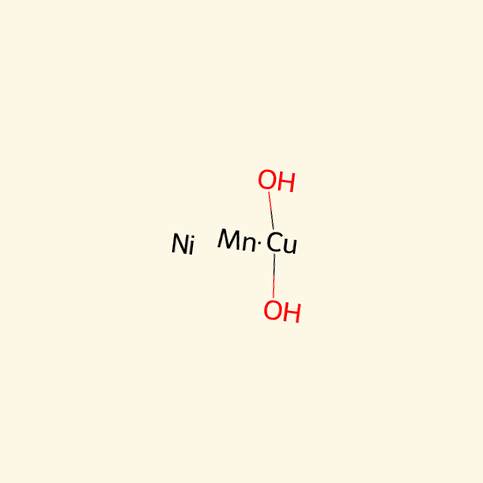 [Mn].[Ni].[OH][Cu][OH]